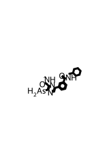 CNC(=O)c1nc(-c2cccc(C(=O)NCC3CCCCC3)c2)cnc1[AsH2]